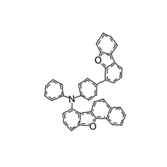 c1ccc(N(c2ccc(-c3cccc4c3oc3ccccc34)cc2)c2cccc3oc4c5ccccc5ccc4c23)cc1